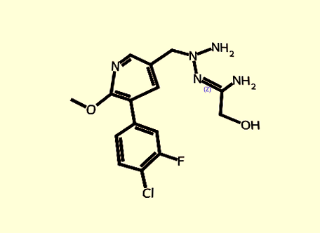 COc1ncc(CN(N)/N=C(\N)CO)cc1-c1ccc(Cl)c(F)c1